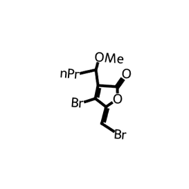 CCCC(OC)C1=C(Br)/C(=C/Br)OC1=O